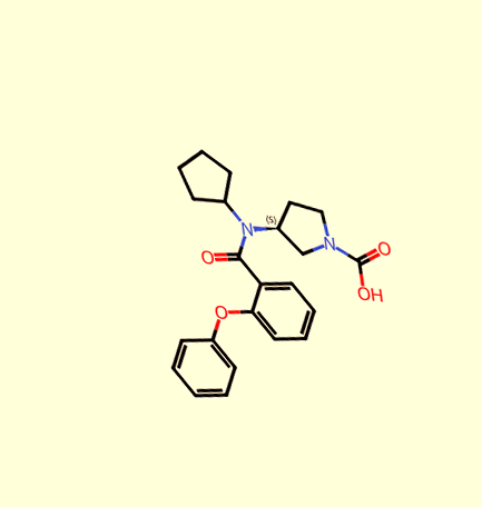 O=C(O)N1CC[C@H](N(C(=O)c2ccccc2Oc2ccccc2)C2CCCC2)C1